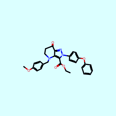 CCOC(=O)c1c2c(nn1-c1ccc(Oc3ccccc3)cc1)C(=O)CCN2Cc1ccc(OC)cc1